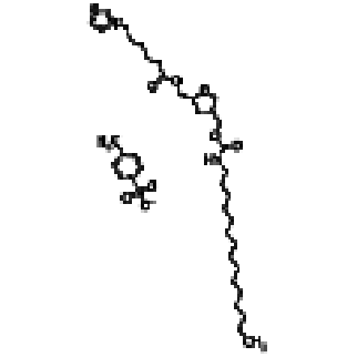 CCCCCCCCCCCCCCCNC(=O)OCC1COC(COC(=O)CCCCC[n+]2ccsc2)C1.Cc1ccc(S(=O)(=O)[O-])cc1